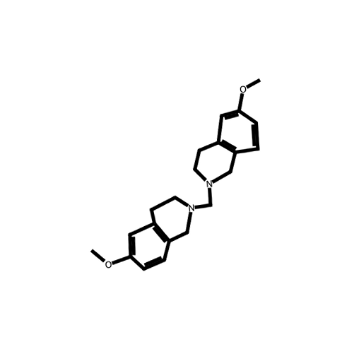 COc1ccc2c(c1)CCN(CN1CCc3cc(OC)ccc3C1)C2